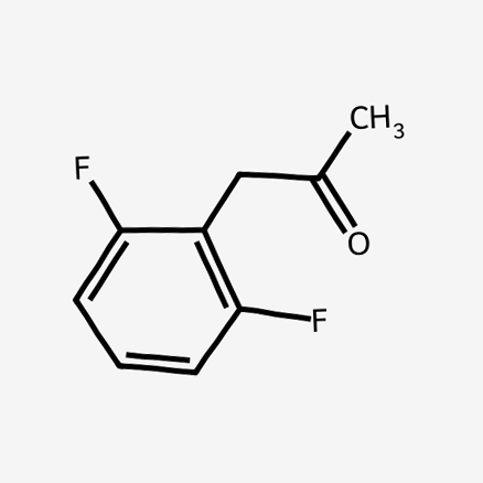 CC(=O)Cc1c(F)cccc1F